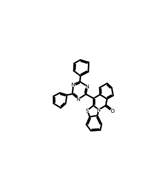 O=c1c2ccccc2c(-c2nc(-c3ccccc3)nc(-c3ccccc3)n2)c2sc3ccccc3n12